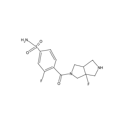 NS(=O)(=O)c1ccc(C(=O)N2CC3CNCC3(F)C2)c(F)c1